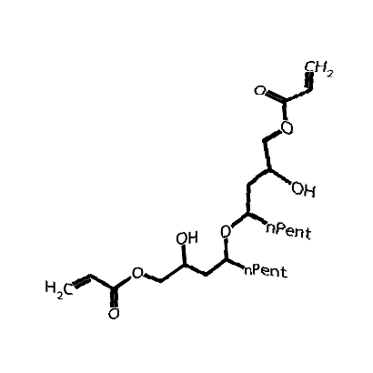 C=CC(=O)OCC(O)CC(CCCCC)OC(CCCCC)CC(O)COC(=O)C=C